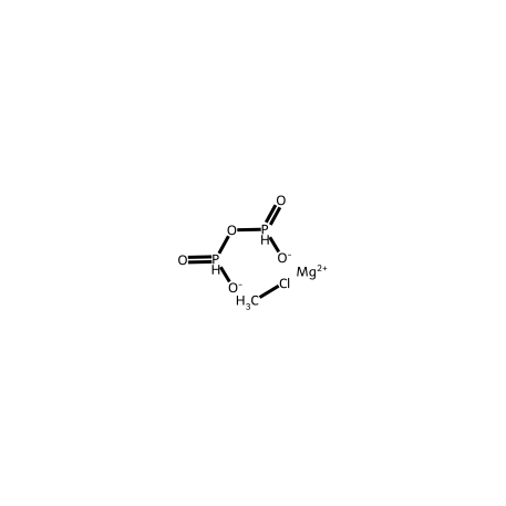 CCl.O=[PH]([O-])O[PH](=O)[O-].[Mg+2]